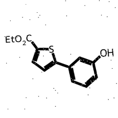 CCOC(=O)c1ccc(-c2cccc(O)c2)s1